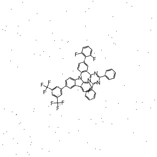 Fc1cccc(F)c1-c1ccc(-n2c3ccccc3c3cc(-c4cc(C(F)(F)F)cc(C(F)(F)F)c4)ccc32)c(-c2nc(-c3ccccc3)nc(-c3ccccc3)n2)c1